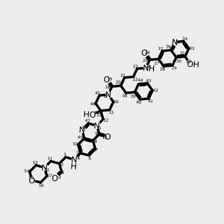 O=CC(CNc1ccc2c(=O)n(CC3(O)CCN(C(=O)C(CCCNC(=O)c4ccc5c(O)ccnc5c4)Cc4ccccc4)CC3)cnc2c1)CN1CCOCC1